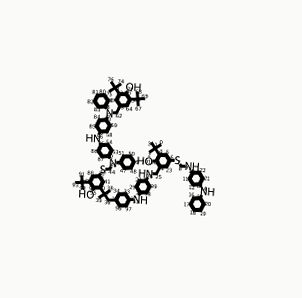 CC(C)(C)c1cc(SCNc2ccc(Nc3ccccc3)cc2)cc(CNc2ccc(Nc3ccc(CC(C)(C)c4cc(SCN(c5ccccc5)c5ccc(Nc6ccc(N(Cc7cc(C(C)(C)C)c(O)c(C(C)(C)C)c7)c7ccccc7)cc6)cc5)cc(C(C)(C)C)c4O)cc3)cc2)c1O